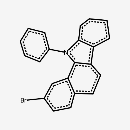 Brc1ccc2ccc3c4ccccc4n(-c4ccccc4)c3c2c1